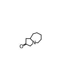 O=C1CC2CCCCCN2C1